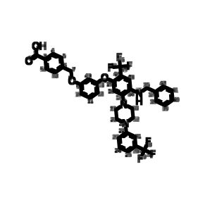 O=C(O)c1ccc(COc2cccc(Oc3cc(N4CCN(c5cccc(C(F)(F)F)c5)CC4)c(NCc4ccccc4)cc3C(F)(F)F)c2)cc1